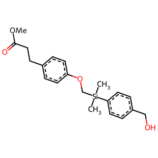 COC(=O)CCc1ccc(OC[Si](C)(C)c2ccc(CO)cc2)cc1